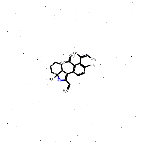 C=CC1=C(c2ccc(C)c(/C(C)=C\C)c2C(=C)C)C2CCCCC2(C)N1